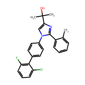 CC(C)(O)c1cn(-c2ccc(-c3c(F)cccc3Cl)cc2)c(-c2ccccc2C(F)(F)F)n1